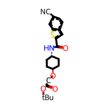 CC(C)(C)OC(=O)CO[C@H]1CC[C@H](NC(=O)c2cc3ccc(C#N)cc3s2)CC1